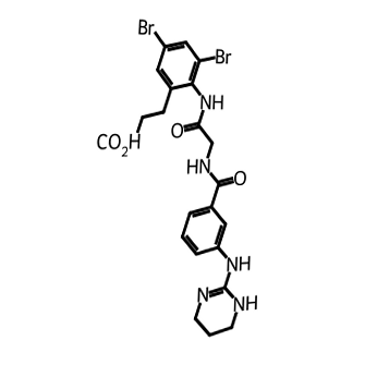 O=C(O)CCc1cc(Br)cc(Br)c1NC(=O)CNC(=O)c1cccc(NC2=NCCCN2)c1